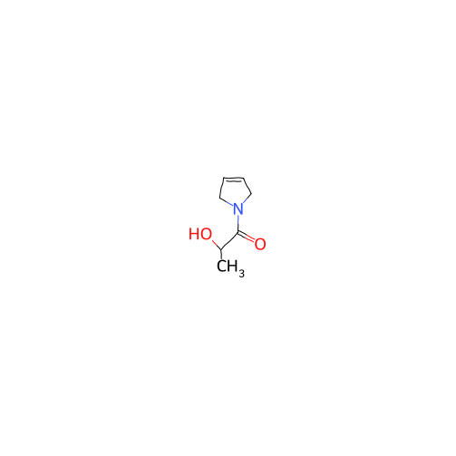 CC(O)C(=O)N1CC=CC1